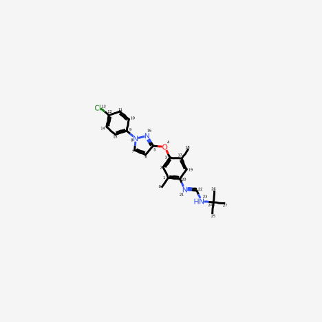 Cc1cc(Oc2ccn(-c3ccc(Cl)cc3)n2)c(C)cc1/N=C/NC(C)(C)C